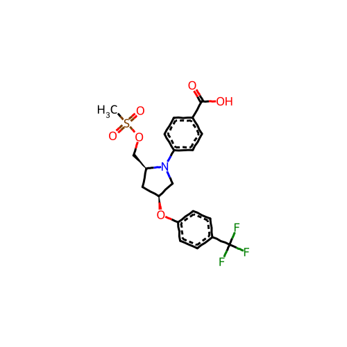 CS(=O)(=O)OC[C@@H]1C[C@H](Oc2ccc(C(F)(F)F)cc2)CN1c1ccc(C(=O)O)cc1